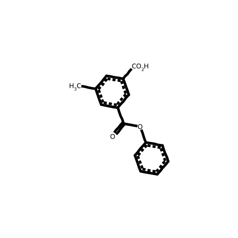 Cc1cc(C(=O)O)cc(C(=O)Oc2ccccc2)c1